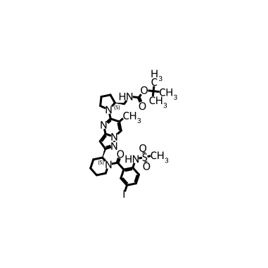 Cc1cn2nc([C@@H]3CCCCN3C(=O)c3cc(I)ccc3NS(C)(=O)=O)cc2nc1N1CCC[C@H]1CNC(=O)OC(C)(C)C